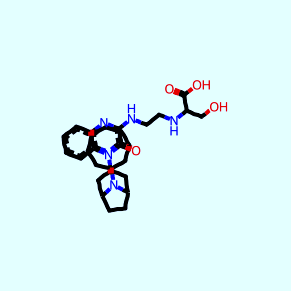 O=C(O)C(CO)NCCNc1nc2ccccc2n(C2CC3CCC(C2)N3C2CCCCCCC2)c1=O